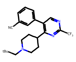 CC(C)(C)CN1CCC(c2nc(C(F)(F)F)ncc2-c2cccc(C#N)c2)CC1